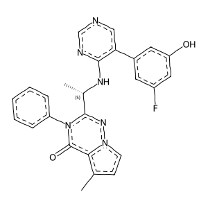 Cc1ccn2nc([C@H](C)Nc3ncncc3-c3cc(O)cc(F)c3)n(-c3ccccc3)c(=O)c12